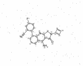 N#Cc1cc(F)ccc1-c1cccc2c(N)c3c(nc12)CN(C1=CC=C1)C3=O